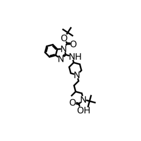 CC(CCN1CCC(Nc2nc3ccccc3n2C(=O)OC(C)(C)C)CC1)CN(C(=O)O)C(C)(C)C